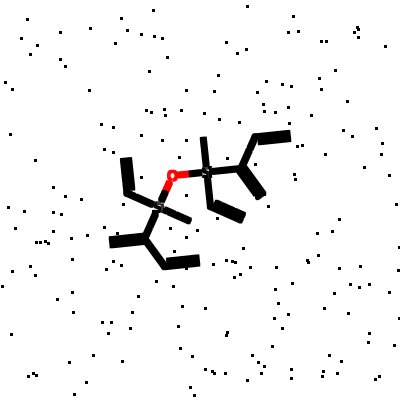 C=CC(=C)[Si](C)(C=C)O[Si](C)(C=C)C(=C)C=C